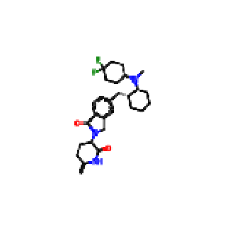 C=C1CCC(N2Cc3cc(C[C@H]4CCCC[C@@H]4N(C)C4CCC(F)(F)CC4)ccc3C2=O)C(=O)N1